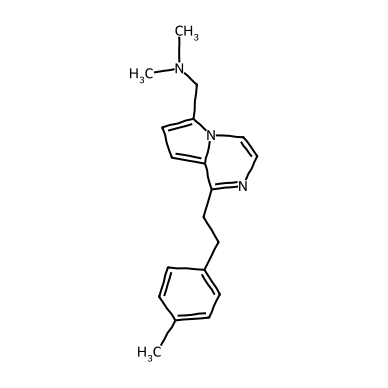 Cc1ccc(CCc2nccn3c(CN(C)C)ccc23)cc1